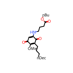 CCCCCCCCCCCCCC1=C(OC)C(=O)C=C(NCCCC(=O)OCCCC)C1=O